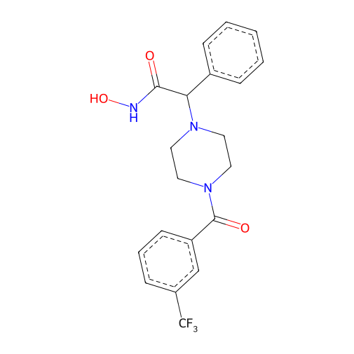 O=C(NO)C(c1ccccc1)N1CCN(C(=O)c2cccc(C(F)(F)F)c2)CC1